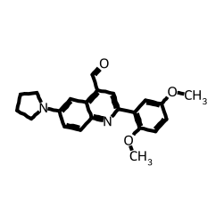 COc1ccc(OC)c(-c2cc(C=O)c3cc(N4CCCC4)ccc3n2)c1